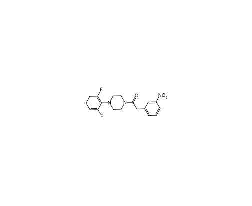 O=C(Cc1cccc([N+](=O)[O-])c1)N1CCN(C2=C(F)C[CH]C=C2F)CC1